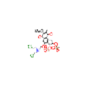 COC1=C(C)C(=O)c2c(cc(OCCN(CCCl)CCCl)c3c2CC(OS(C)(=O)=O)C3OS(C)(=O)=O)C1=O